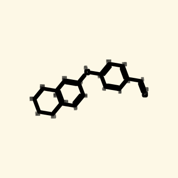 O=Cc1ccc(Oc2ccc3c(c2)CCCC3)cc1